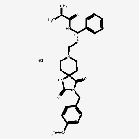 COc1ccc(CN2C(=O)NC3(CCN(CC[C@H](NC(=O)C(C)C)c4ccccc4)CC3)C2=O)cc1.Cl